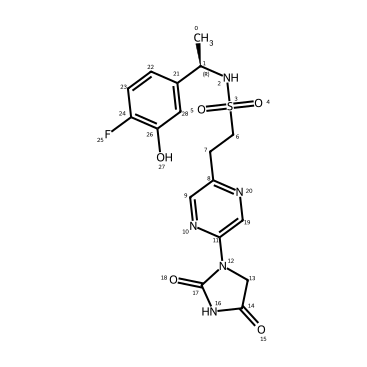 C[C@@H](NS(=O)(=O)CCc1cnc(N2CC(=O)NC2=O)cn1)c1ccc(F)c(O)c1